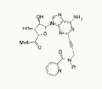 CNC(=O)C1OC(n2cnc3c(N)nc(C#CCN(C(=O)c4ccccn4)C(C)C)nc32)[C@H](O)[C@@H]1O